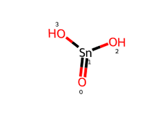 [O]=[Sn]([OH])[OH]